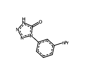 CCCc1cccc(-n2nn[nH]c2=O)c1